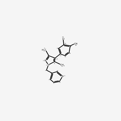 Cc1nn(Cc2cccnc2)c(C)c1-c1ccc(C#N)c(Cl)c1